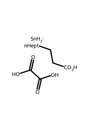 CCCCCCCCCC(=O)O.O=C(O)C(=O)O.[SnH2]